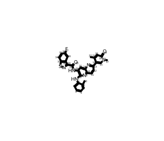 Cc1ccccc1Nc1nc2ccc(-c3cn(C)c(=O)cc3C)nc2cc1NC(=O)c1nsc2ccc(F)cc12